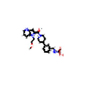 COCCn1c(C(=O)N2CCC(c3cccc(CNC(=O)O)c3)CC2)cc2ncccc21